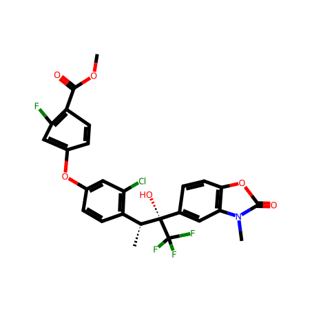 COC(=O)c1ccc(Oc2ccc([C@@H](C)[C@@](O)(c3ccc4oc(=O)n(C)c4c3)C(F)(F)F)c(Cl)c2)cc1F